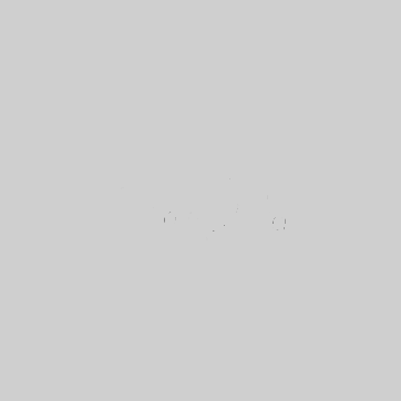 ClCc1ccc(OC2CCCC2)cc1